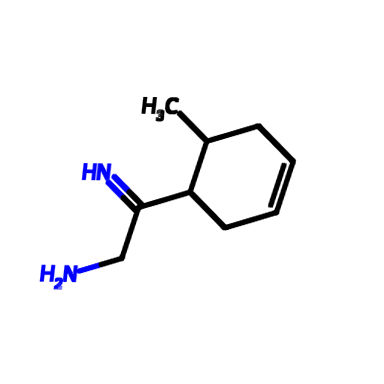 CC1CC=CCC1C(=N)CN